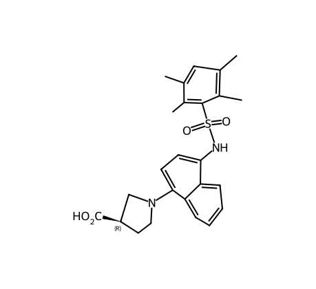 Cc1cc(C)c(C)c(S(=O)(=O)Nc2ccc(N3CC[C@@H](C(=O)O)C3)c3ccccc23)c1C